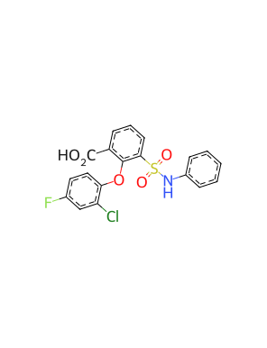 O=C(O)c1cccc(S(=O)(=O)Nc2ccccc2)c1Oc1ccc(F)cc1Cl